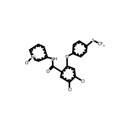 O=C(Nc1ccc[n+]([O-])c1)c1cc(Cl)c(Cl)cc1Oc1ccc(SC(F)(F)F)cc1